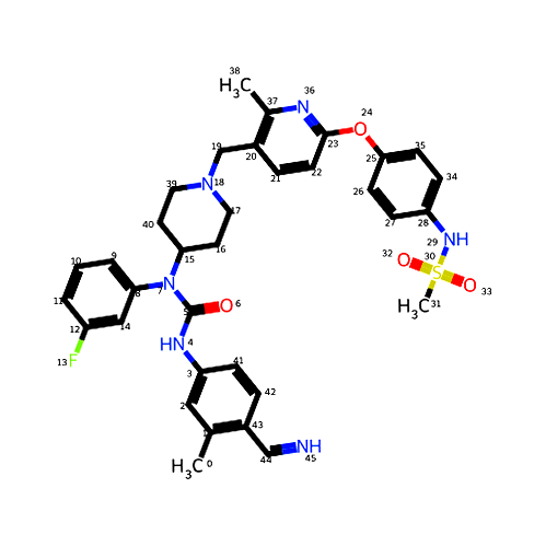 Cc1cc(NC(=O)N(c2cccc(F)c2)C2CCN(Cc3ccc(Oc4ccc(NS(C)(=O)=O)cc4)nc3C)CC2)ccc1C=N